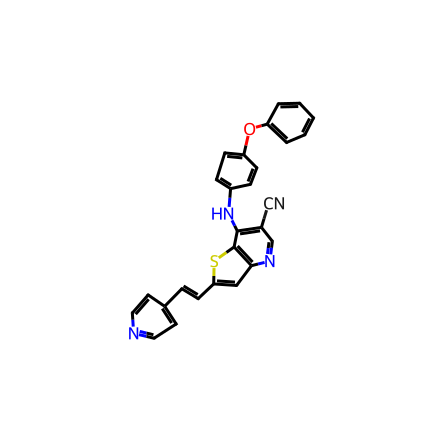 N#Cc1cnc2cc(C=Cc3ccncc3)sc2c1Nc1ccc(Oc2ccccc2)cc1